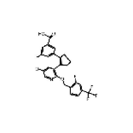 O=C(O)c1cc(F)cc(C2=C(c3cc(Cl)cnc3OCc3ccc(C(F)(F)F)cc3F)CCC2)c1